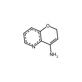 NC1=CCOc2cccnc21